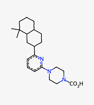 CC1(C)CCCC2CCC(c3cccc(N4CCN(C(=O)O)CC4)n3)CC21